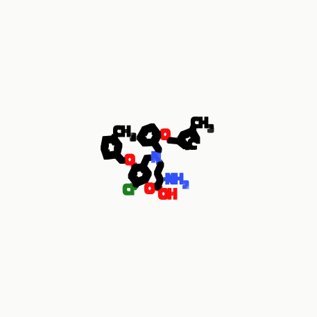 Cc1cccc(COc2ccccc2CN(CC[C@H](N)C(=O)O)Cc2ccc(Cl)cc2OCc2cccc(C)c2)c1